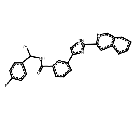 CC(C)C(NC(=O)c1cccc(-c2c[nH]c(-c3cc4ccccc4cn3)n2)c1)c1ccc(F)cc1